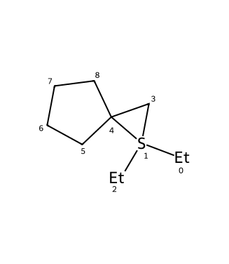 CCS1(CC)CC12CCCC2